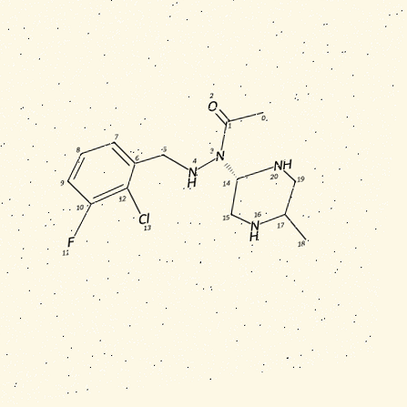 CC(=O)N(NCc1cccc(F)c1Cl)[C@H]1CNC(C)CN1